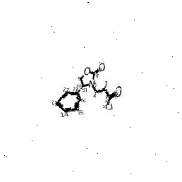 O=C(Cl)CCN1C(=O)OC[C@@H]1c1ccccc1